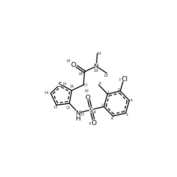 Cc1c(Cl)cccc1S(=O)(=O)Nc1ccsc1CC(=O)N(C)C